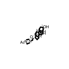 CC(=O)N1CCN(CC(=O)[C@H]2CC[C@H]3[C@@H]4CC[C@H]5C[C@](C)(O)CCC5(CO)[C@H]4CC[C@]23C)CC1